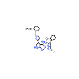 COc1ccccc1Cn1ccc(-c2c[nH]c3ncnc(N[C@@H](C)c4[nH]c(C)cc4-c4ccccc4)c23)n1